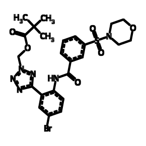 CC(C)(C)C(=O)OCn1nnc(-c2cc(Br)ccc2NC(=O)c2cccc(S(=O)(=O)N3CCOCC3)c2)n1